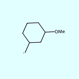 [CH]C1CCCC(OC)C1